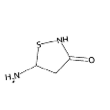 NC1CC(=O)NS1